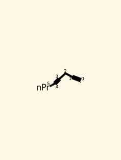 [C]#CCC#CCC[CH2]